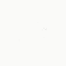 CP1CCNCC1